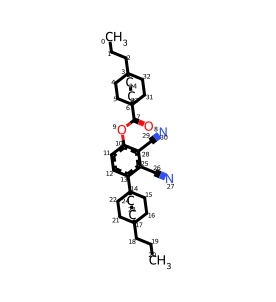 CCCC12CCC(C(=O)Oc3ccc(C45CCC(CCC)(CC4)CC5)c(C#N)c3C#N)(CC1)CC2